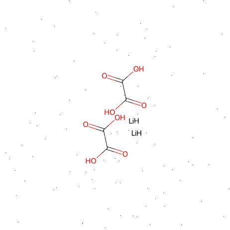 O=C(O)C(=O)O.O=C(O)C(=O)O.[LiH].[LiH]